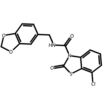 O=C(NCc1ccc2c(c1)OCO2)n1c(=O)sc2c(Cl)cccc21